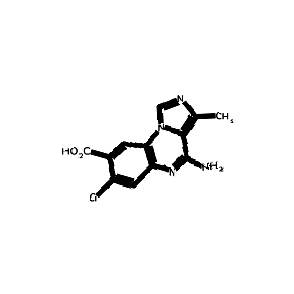 Cc1ncn2c1c(N)nc1cc(Cl)c(C(=O)O)cc12